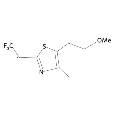 COCCc1sc([CH]C(F)(F)F)nc1C